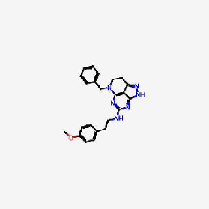 COc1ccc(CCNc2nc3c4c(n[nH]c4n2)CCN3Cc2ccccc2)cc1